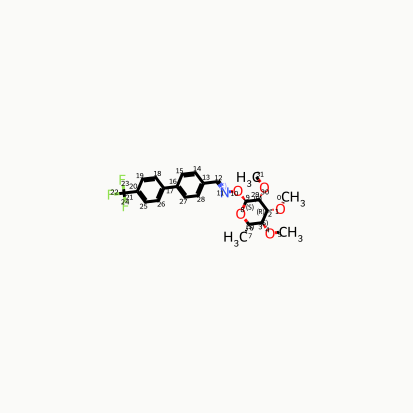 CO[C@@H]1[C@@H](OC)[C@H](C)O[C@@H](O/N=C/c2ccc(-c3ccc(C(F)(F)F)cc3)cc2)[C@@H]1OC